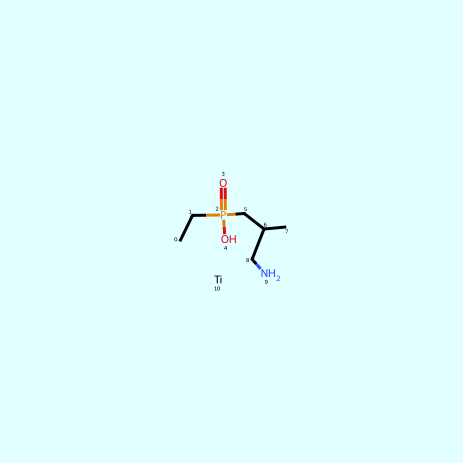 CCP(=O)(O)CC(C)CN.[Ti]